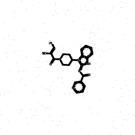 CC(C)C=C(C#N)C(=O)N1CCC(n2c(=NC(=O)c3cccnc3)[nH]c3ccccc32)CC1